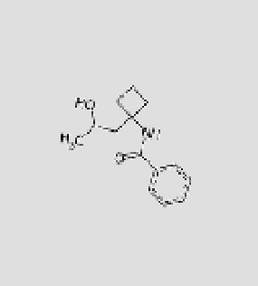 CC(O)CC1(NC(=O)c2ccccc2)CCC1